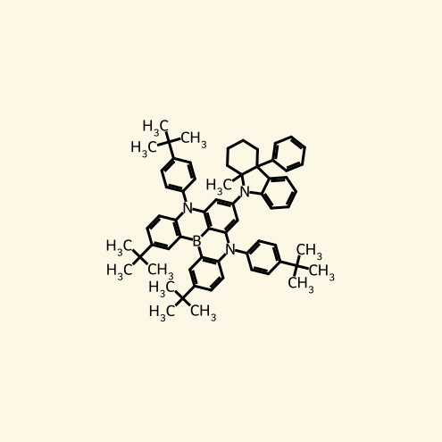 CC(C)(C)c1ccc(N2c3ccc(C(C)(C)C)cc3B3c4cc(C(C)(C)C)ccc4N(c4ccc(C(C)(C)C)cc4)c4cc(N5c6ccccc6C6(c7ccccc7)CCCCC56C)cc2c43)cc1